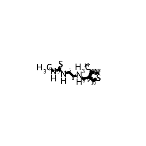 CNC(=S)NCCNCc1csnc1C